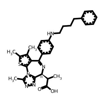 Cc1sc2c(c1C)C(c1ccc(NCCCCc3ccccc3)cc1)=N[C@@H](C(C)C(=O)O)c1nnc(C)n1-2